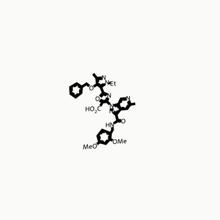 CCn1nc(C)c(OCc2ccccc2)c1-c1nc(-n2nc(C(=O)NCc3ccc(OC)cc3OC)c3cc(C)ncc32)c(C(=O)O)o1